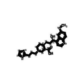 COc1ccc2nccc([C@@H](O)CC[C@@H]3CCN(CCCc4nccs4)C[C@@H]3C(=O)O)c2c1